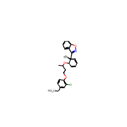 CCCC1(c2noc3ccccc23)C=CC=CC1OC(C)CCOc1ccc(CC(=O)O)cc1Cl